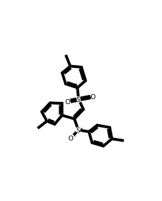 Cc1ccc([S+]([O-])C(=CS(=O)(=O)c2ccc(C)cc2)c2cccc(C)c2)cc1